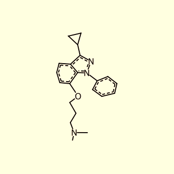 CN(C)CCCOc1cccc2c(C3CC3)nn(-c3ccccc3)c12